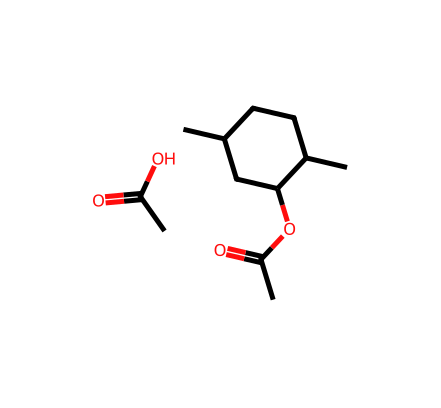 CC(=O)O.CC(=O)OC1CC(C)CCC1C